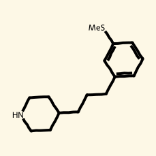 CSc1cccc(CCCC2CCNCC2)c1